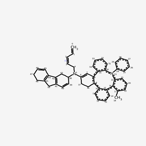 C=C/C=C\CN(C1=Cc2c(c3ccccc3c3c(C)cccc3n(-c3ccccc3)c3ccccc23)CC1)C1C=CC2=C(C1)C1=C(CCC=C1)C2